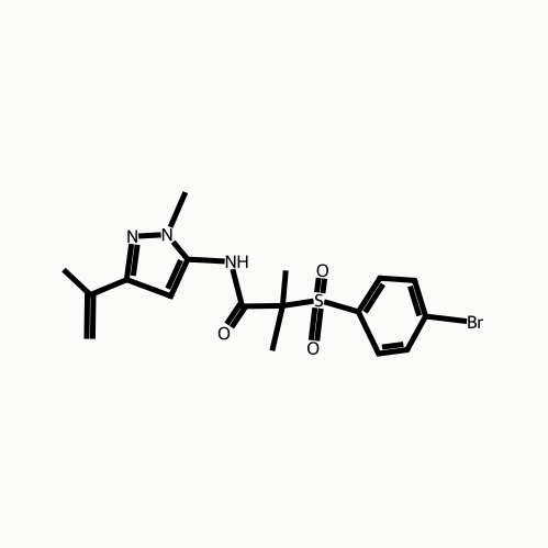 C=C(C)c1cc(NC(=O)C(C)(C)S(=O)(=O)c2ccc(Br)cc2)n(C)n1